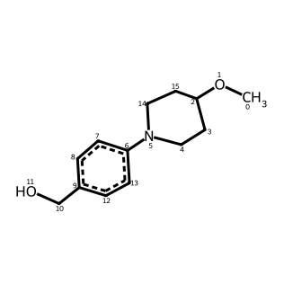 COC1CCN(c2ccc(CO)cc2)CC1